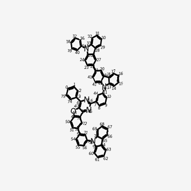 c1ccc(-c2nc(-c3cccc(-n4c5ccccc5c5cc(-c6ccc7c(c6)c6ccccc6n7-c6ccccc6)ccc54)c3)nc3c2oc2ccc(-c4cccc(-n5c6ccccc6c6ccccc65)c4)cc23)cc1